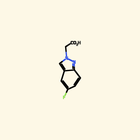 O=C(O)Cn1cc2cc(F)ccc2n1